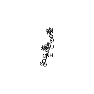 Cc1nnc(-c2ccc(OCCNC(=O)C(CCCCNC(=O)CC3CCC(=O)C(=O)C3)NC(=O)OC(C)(C)C)cc2)nn1